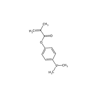 C=C(C)C(=O)Oc1ccc([S+](C)C)cc1